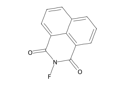 O=C1c2cccc3cccc(c23)C(=O)N1F